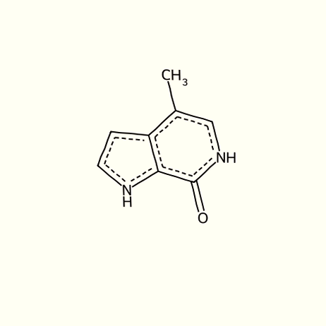 Cc1c[nH]c(=O)c2[nH]ccc12